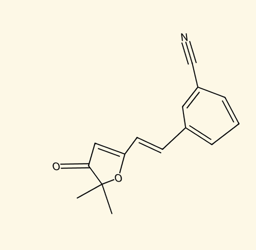 CC1(C)OC(/C=C/c2cccc(C#N)c2)=CC1=O